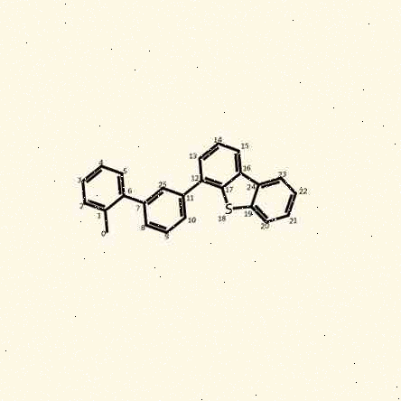 Cc1ccccc1-c1cccc(-c2cccc3c2sc2ccccc23)c1